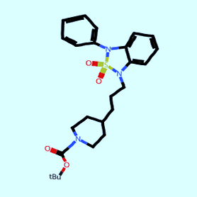 CC(C)(C)OC(=O)N1CCC(CCCN2c3ccccc3N(c3ccccc3)S2(=O)=O)CC1